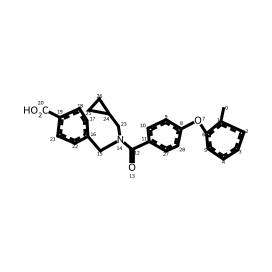 Cc1ccccc1Oc1ccc(C(=O)N(Cc2ccc(C(=O)O)cc2)CC2CC2)cc1